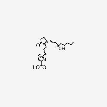 CCCCC[C@@](C)(O)CC=C[C@H]1CCC(=O)[C@@H]1CCSc1nc(C(=O)O)cs1